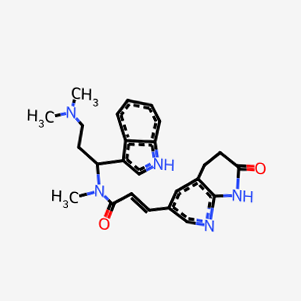 CN(C)CCC(c1c[nH]c2ccccc12)N(C)C(=O)C=Cc1cnc2c(c1)CCC(=O)N2